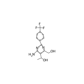 CC(O)c1c(N)nc(-c2ccc(C(F)(F)F)cc2)nc1CO